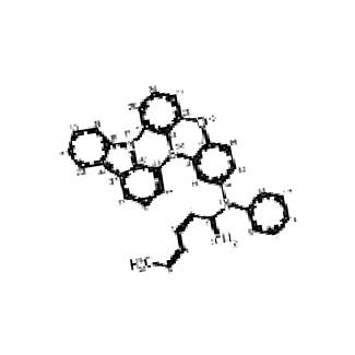 C=C(/C=C\C=C/C)N(c1ccccc1)c1ccc2c(c1)B1c3c(cccc3-n3c4ccccc4c4cccc1c43)O2